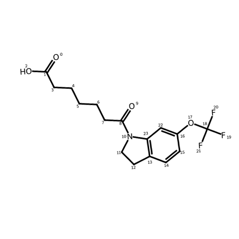 O=C(O)CCCCCC(=O)N1CCc2ccc(OC(F)(F)F)cc21